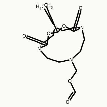 CC1OC(=O)N2CCN(C)CCN(CCN(COC=O)CC2)C(=O)O1